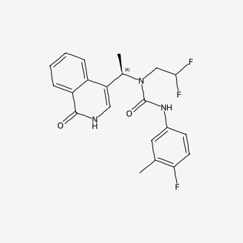 Cc1cc(NC(=O)N(CC(F)F)[C@H](C)c2c[nH]c(=O)c3ccccc23)ccc1F